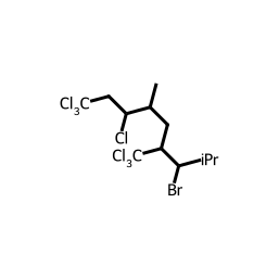 CC(C)C(Br)C(CC(C)C(Cl)CC(Cl)(Cl)Cl)C(Cl)(Cl)Cl